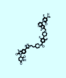 CNc1cc(=O)n(-c2ccnc3c2cc(CN2CCC(c4c(F)cc(C(=O)N5CCC(CCn6cc(-c7ccc8c(c7)n(C)c(=O)n8C7CCC(=O)NC7=O)nn6)CC5)cc4F)CC2)n3C)cc1F